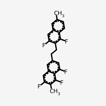 Cc1ccc2c(F)c(CCc3cc(F)c4c(F)c(C)c(F)cc4c3)c(F)cc2c1